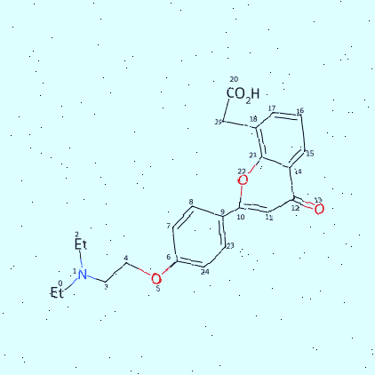 CCN(CC)CCOc1ccc(-c2cc(=O)c3cccc(CC(=O)O)c3o2)cc1